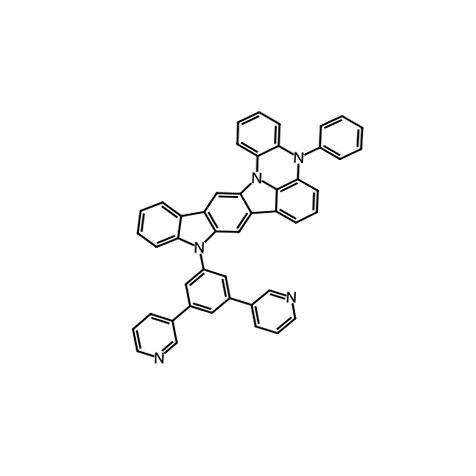 c1ccc(N2c3ccccc3-n3c4cc5c6ccccc6n(-c6cc(-c7cccnc7)cc(-c7cccnc7)c6)c5cc4c4cccc2c43)cc1